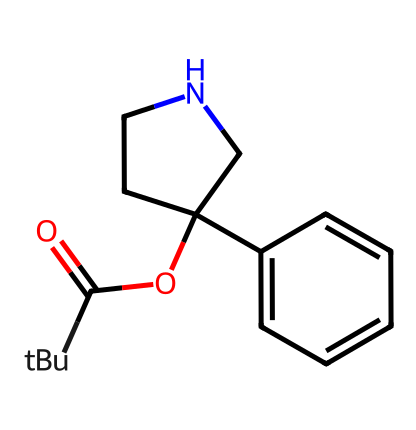 CC(C)(C)C(=O)OC1(c2ccccc2)CCNC1